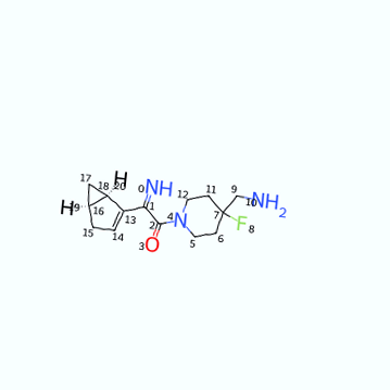 N=C(C(=O)N1CCC(F)(CN)CC1)C1=CC[C@H]2C[C@@H]12